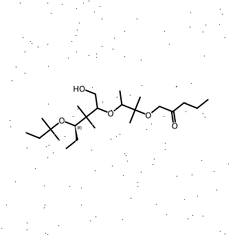 CCCC(=O)COC(C)(C)C(C)OC(CO)C(C)(C)[C@@H](CC)OC(C)(C)CC